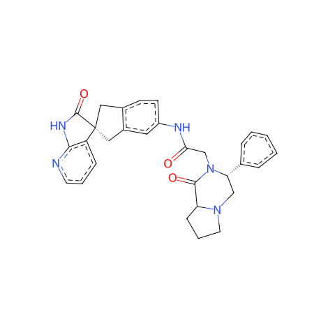 O=C(CN1C(=O)C2CCCN2C[C@H]1c1ccccc1)Nc1ccc2c(c1)C[C@@]1(C2)C(=O)Nc2ncccc21